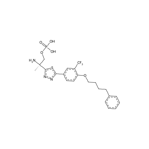 C[C@](N)(COP(=O)(O)O)c1nnc(-c2ccc(OCCCCc3ccccc3)c(C(F)(F)F)c2)s1